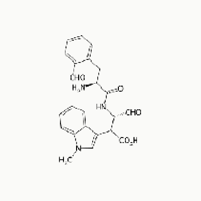 Cn1cc(C(C(=O)O)[C@@H](C=O)NC(=O)[C@@H](N)Cc2ccccc2C=O)c2ccccc21